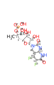 CCC(C)(C[C@H]1O[C@@H](n2cc3c(F)c(F)c(=O)[nH]c3nc2=O)[C@@H](O)C1O)OP(=O)(O)O